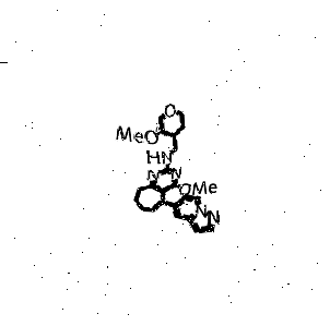 COc1nc(NCC2CCOC[C@H]2OC)nc2c1C(c1ccn3nccc3c1)=CCCC2